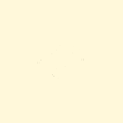 C=C(C)c1cc(N)c(O)cc1Cl